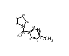 Cc1ccc(C(=O)N2C[CH]CC2)cn1